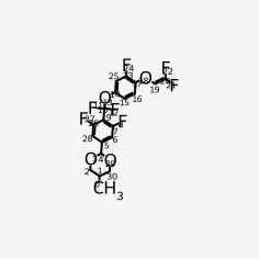 CC1COC(c2cc(F)c(C(F)(F)Oc3ccc(OC=C(F)F)c(F)c3)c(F)c2)OC1